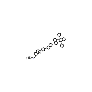 N=C/C=C\c1ccc2ccc(-c3ccc(-c4ccc5cc(-c6ccc7c8c(cccc68)-c6c-7c(-c7ccccc7)c7ccccc7c6-c6ccccc6)ccc5c4)cc3)nc2c1